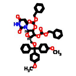 COc1ccc(C(OC[C@@H]2O[C@H](n3ccc(=O)[nH]c3=O)C(OC(=O)OCc3ccccc3)C2OC(=O)OCc2ccccc2)(c2ccccc2)c2ccc(OC)cc2)cc1